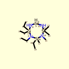 CCN1[Si](CC)(CC)N[SiH2]N[Si](C)(C)N(C)[Si]1(C)CC